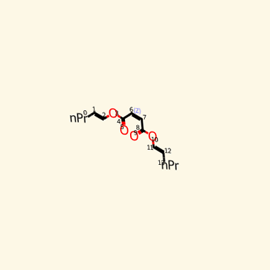 CCCC=COC(=O)/C=C\C(=O)OC=CCCC